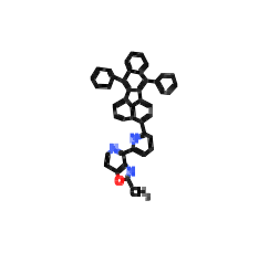 Cc1nc2c(-c3cccc(-c4ccc5c6c(cccc46)-c4c-5c(-c5ccccc5)c5ccccc5c4-c4ccccc4)n3)nccc2o1